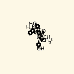 CC(C)N(C(=O)NCc1ccc(O)cc1)N1CC(=O)N2[C@@H](Cc3ccc(O)c(N)c3)C(=O)N(Cc3cccc4ccccc34)C[C@@H]21